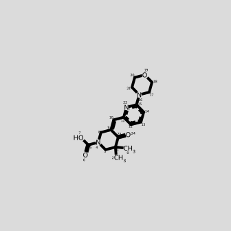 CC1(C)CN(C(=O)O)CC(=Cc2cccc(N3CCOCC3)n2)C1=O